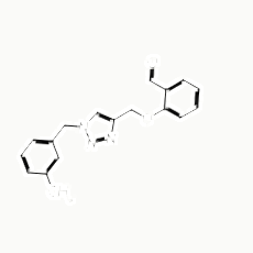 Cc1cccc(Cn2cc(COc3ccccc3C=O)nn2)c1